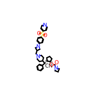 N#CC(c1ccccc1)(C1CCN(CC2CN(c3ccc(S(=O)(=O)c4ccncc4)cc3)C2)CC1)[C@@H]1CCC[C@H]1OC(=O)N1CCC1